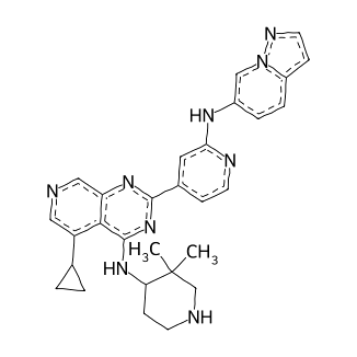 CC1(C)CNCCC1Nc1nc(-c2ccnc(Nc3ccc4ccnn4c3)c2)nc2cncc(C3CC3)c12